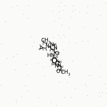 CCCN(CC1CC1)c1cc(C(=O)Nc2ccc3nn(CC(C)=O)cc3c2)ncn1